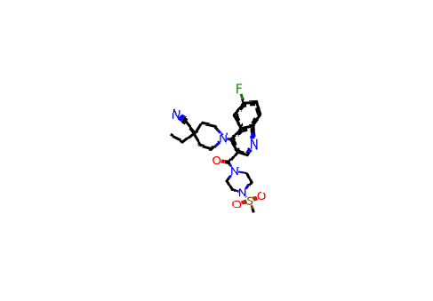 CCC1(C#N)CCN(c2c(C(=O)N3CCN(S(C)(=O)=O)CC3)cnc3ccc(F)cc23)CC1